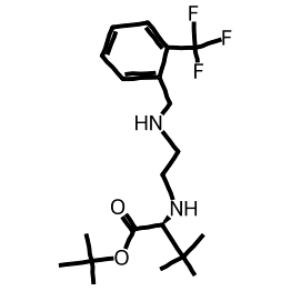 CC(C)(C)OC(=O)[C@@H](NCCNCc1ccccc1C(F)(F)F)C(C)(C)C